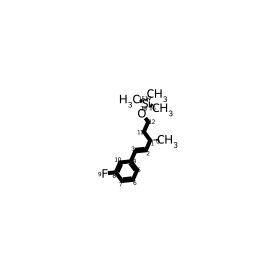 C[C@H](C=Cc1cccc(F)c1)CCO[Si](C)(C)C